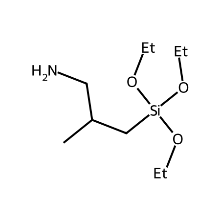 CCO[Si](CC(C)CN)(OCC)OCC